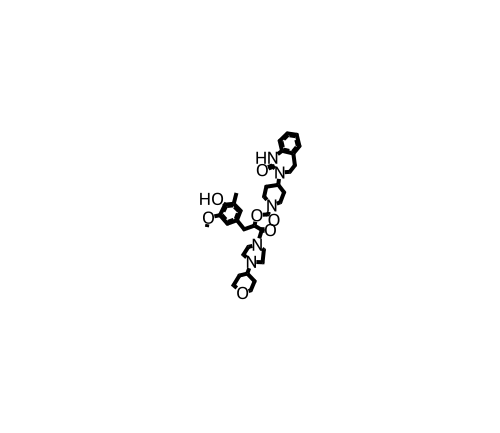 COc1cc(CC(OC(=O)N2CCC(N3CCc4ccccc4NC3=O)CC2)C(=O)N2CCN(C3CCOCC3)CC2)cc(C)c1O